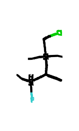 CC([SiH](C)F)[Si](C)(C)CCl